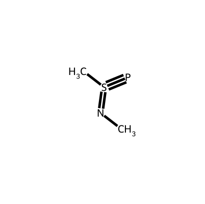 CN=S(C)#P